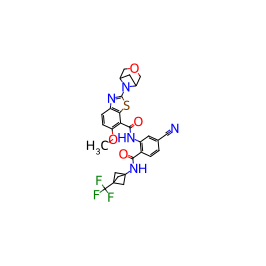 COc1ccc2nc(N3C4COCC3C4)sc2c1C(=O)Nc1cc(C#N)ccc1C(=O)NC12CC(C(F)(F)F)(C1)C2